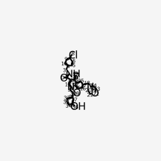 O=C(NCc1ccc(Cl)cc1)c1cn2c3c(cc(CN4CCOCC4)cc3c1=S)OC(c1cccc(O)c1)C2